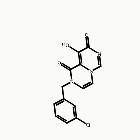 O=c1ncn2ccn(Cc3cccc(Cl)c3)c(=O)c2c1O